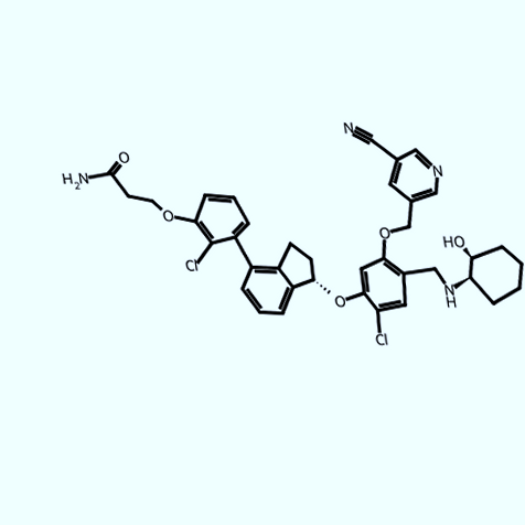 N#Cc1cncc(COc2cc(O[C@H]3CCc4c(-c5cccc(OCCC(N)=O)c5Cl)cccc43)c(Cl)cc2CN[C@@H]2CCCC[C@@H]2O)c1